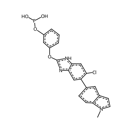 Cn1ccc2cc(-c3cc4nc(Oc5cccc(OP(O)O)c5)[nH]c4cc3Cl)ccc21